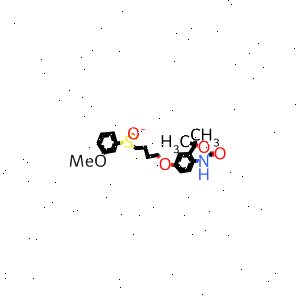 COc1cccc([S+]([O-])CCCCOc2ccc3c(c2)C(C)(C)OC(=O)N3)c1